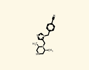 C[C@@H]1CNC[C@H](C)N1Cc1cncn1Cc1ccc(C#N)cc1